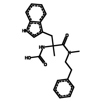 CN(CCc1ccccc1)C(=O)C(C)(Cc1c[nH]c2ccccc12)NC(=O)O